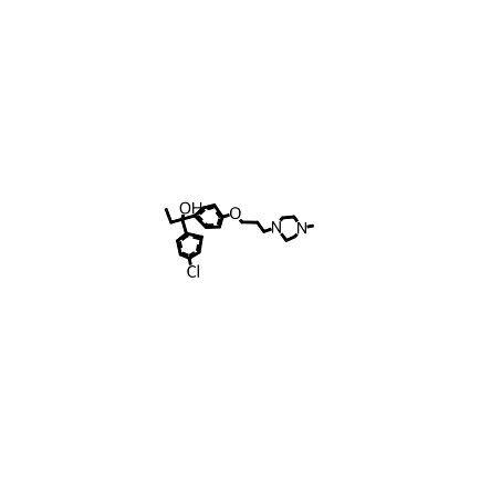 CCC(O)(c1ccc(Cl)cc1)c1ccc(OCCCN2CCN(C)CC2)cc1